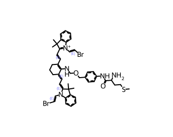 CSCCC(N)C(=O)Nc1ccc(COCNC2=C(/C=C/C3=[N+](/C=C/Br)c4ccccc4C3(C)C)CCC/C2=C\C=C2\N(/C=C/Br)c3ccccc3C2(C)C)cc1